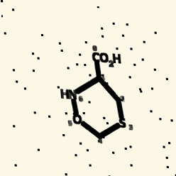 O=C(O)C1CSCON1